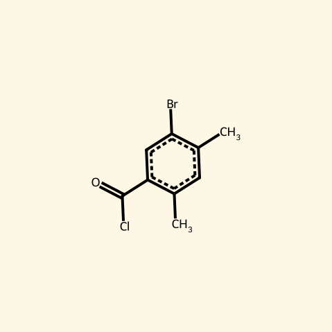 Cc1cc(C)c(C(=O)Cl)cc1Br